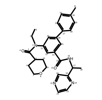 CCN(C(=O)C1CCOCC1)c1cc(C(=O)NC(C)c2cnccn2)cc(-c2ccc(C)cc2)c1